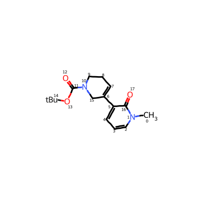 Cn1cccc(C2=CCCN(C(=O)OC(C)(C)C)C2)c1=O